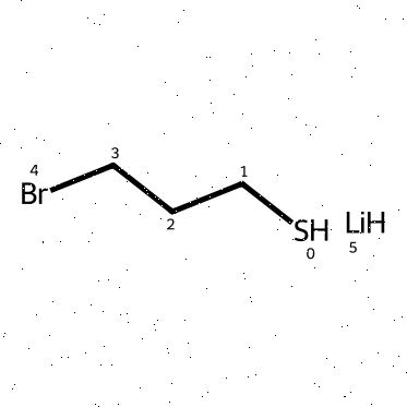 SCCCBr.[LiH]